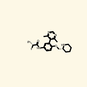 Cc1ncnc(C)c1-c1cc(NC(=O)[C@H](F)C(C)C)ccc1OC[C@H]1CCCCN1